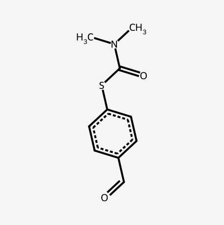 CN(C)C(=O)Sc1ccc(C=O)cc1